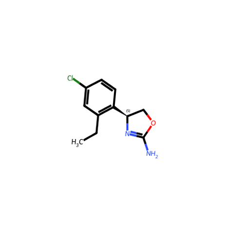 CCc1cc(Cl)ccc1[C@H]1COC(N)=N1